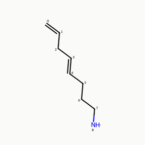 C=CCC=CCCC[NH]